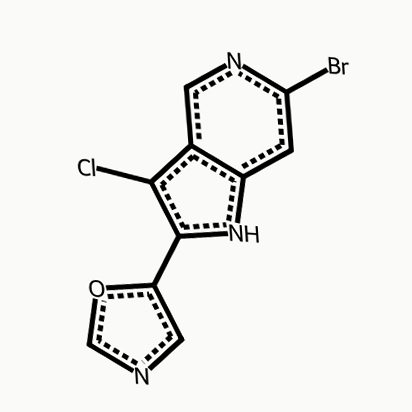 Clc1c(-c2cnco2)[nH]c2cc(Br)ncc12